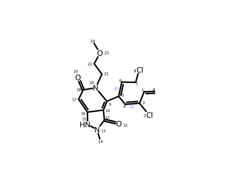 C=C/C(Cl)=C\C(=C/CCl)c1c2c(=O)n(C)[nH]c2cc(=O)n1CCOC